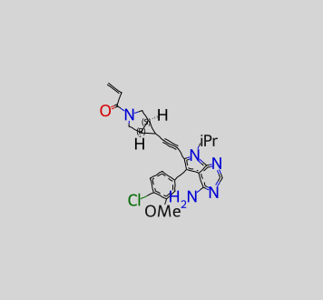 C=CC(=O)N1C[C@@H]2C(C#Cc3c(-c4ccc(Cl)c(OC)c4)c4c(N)ncnc4n3C(C)C)[C@@H]2C1